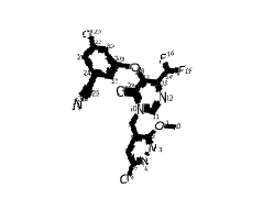 COc1nnc(Cl)cc1Cn1cnc(C(F)F)c(Oc2cc(Cl)cc(C#N)c2)c1=O